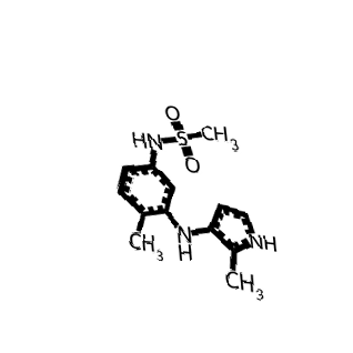 Cc1ccc(NS(C)(=O)=O)cc1Nc1cc[nH]c1C